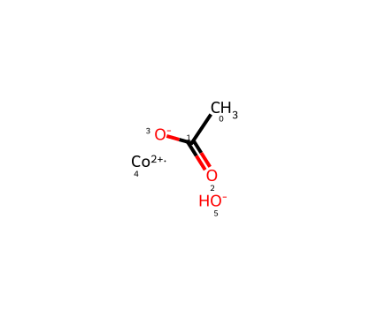 CC(=O)[O-].[Co+2].[OH-]